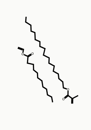 C=C(C)C(=O)OCCCCCCCCCCCCCCCCCC.C=COC(=O)CCCCCCCCCCC